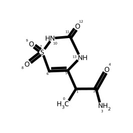 CC(C(N)=O)C1=CS(=O)(=O)NC(=O)N1